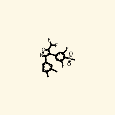 Cc1ccc(-c2noc(C(F)F)c2-c2cc(F)c(S(C)(=O)=O)c(F)c2)cc1C